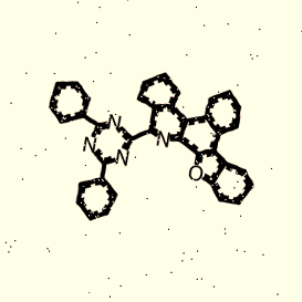 c1ccc(-c2nc(-c3ccccc3)nc(-c3nc4c5oc6ccccc6c5c5ccccc5c4c4ccccc34)n2)cc1